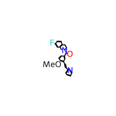 COc1ccc(C(=O)N2CCc3ccc(F)cc3C2)cc1C#Cc1ccccn1